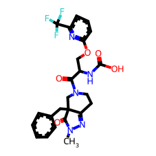 CN1N=C2CCN(C(=O)C(COc3cccc(C(F)(F)F)n3)NC(=O)O)CC2(Cc2ccccc2)C1=O